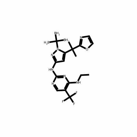 BC(B)(B)n1nc(Nc2ncc(C(F)(F)F)c(NCC)n2)cc1C(C)(C)c1ncco1